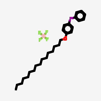 CCCCCCCCCCCCCCCCOc1ccc([I+]c2ccccc2)cc1.F[B-](F)(F)F